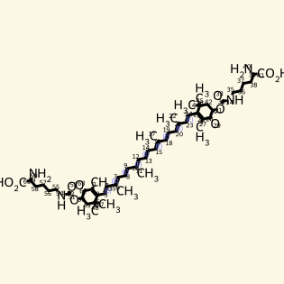 CC1=C(/C=C/C(C)=C/C=C/C(C)=C/C=C/C=C(C)/C=C/C=C(C)/C=C/C2=C(C)C(=O)C(OC(=O)NCCCCC(N)C(=O)O)CC2(C)C)C(C)(C)CC(OC(=O)NCCCCC(N)C(=O)O)C1=O